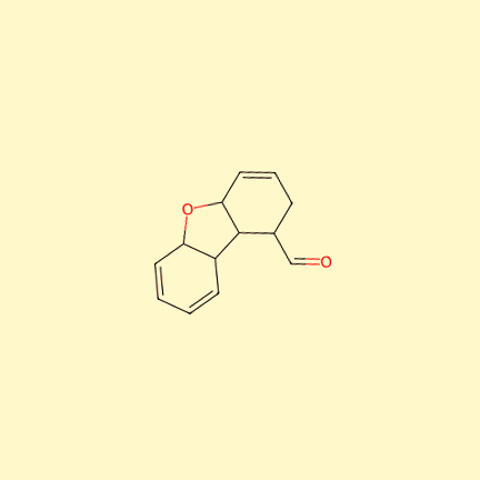 O=CC1CC=CC2OC3C=CC=CC3C12